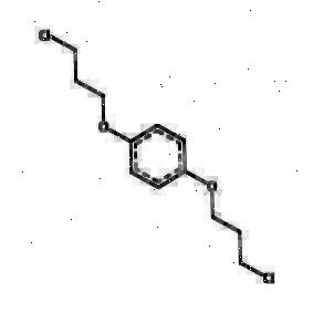 ClCCCOc1ccc(OCCCCl)cc1